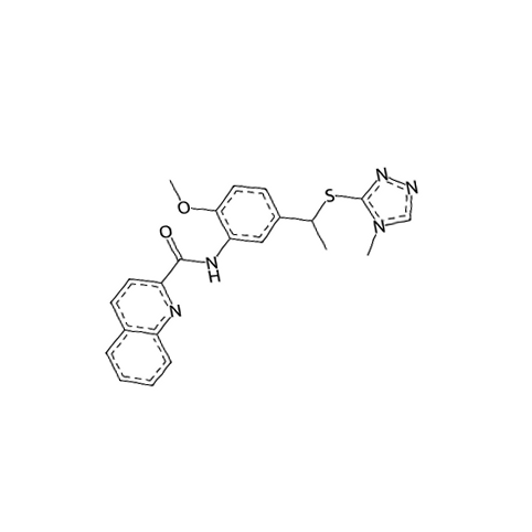 COc1ccc(C(C)Sc2nncn2C)cc1NC(=O)c1ccc2ccccc2n1